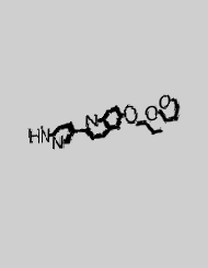 CCC(COc1ccc2nc(-c3ccc(NC)nc3)ccc2c1)OC1CCCCO1